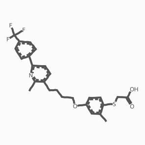 Cc1cc(OCCCCc2ccc(-c3ccc(C(F)(F)F)cc3)nc2C)ccc1SCC(=O)O